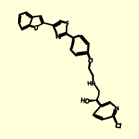 O[C@@H](CNCCOc1ccc(-c2nc(-c3cc4ccccc4o3)cs2)cc1)c1ccc(Cl)nc1